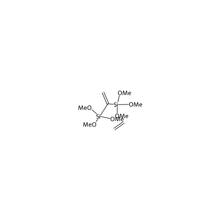 C=C.C=C([Si](OC)(OC)OC)[Si](OC)(OC)OC